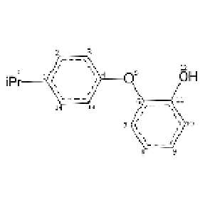 CC(C)c1ccc(Oc2ccccc2O)cc1